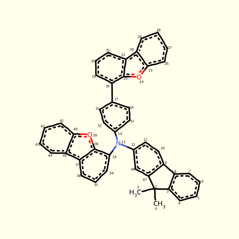 CC1(C)c2ccccc2-c2ccc(N(c3ccc(-c4cccc5c4oc4ccccc45)cc3)c3cccc4c3oc3ccccc34)cc21